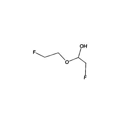 OC(CF)OCCF